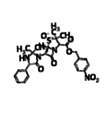 CC1(C)NC(c2ccccc2)C(=O)N1C1C(=O)N2C(C(=O)OCc3ccc([N+](=O)[O-])cc3)C(C)(C)[S+]([O-])[C@@H]12